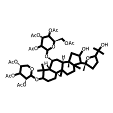 CC(=O)OC[C@H]1OC(O[C@H]2C[C@@H]3C4(CCC5(C)C([C@@]6(C)CCC(C(C)(C)O)O6)C(O)C[C@@]35C)C[C@@]43CCC(OC4OC[C@@H](OC(C)=O)C(OC(C)=O)[C@H]4OC(C)=O)C(C)(C)[C@H]23)C(OC(C)=O)[C@@H](OC(C)=O)C1OC(C)=O